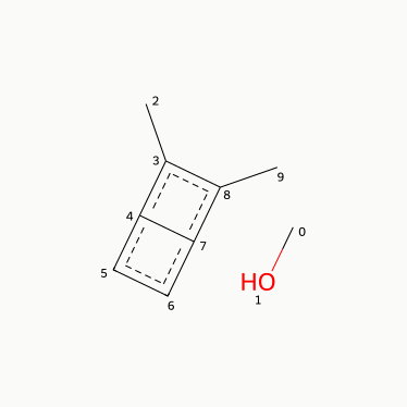 CO.Cc1c2ccc-2c1C